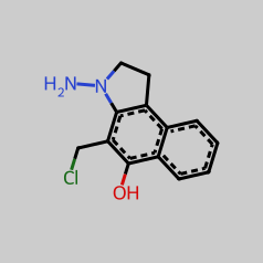 NN1CCc2c1c(CCl)c(O)c1ccccc21